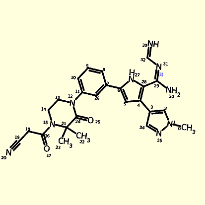 Cn1cc(-c2cc(-c3cccc(N4CCN(C(=O)CC#N)C(C)(C)C4=O)c3)[nH]c2/C(N)=N\C=N)cn1